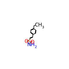 CCc1ccc(/C=C/S(N)(=O)=O)cc1